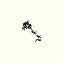 CC(=O)NC1C(OCCCCC(=O)NCCCCCC(=O)N2CC(C)C[C@H]2CC(C)(C)C)OC(COC(C)=O)C(OC(C)=O)C1OC(C)=O